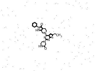 CCc1cc2c(N3CCc4c([nH]n(-c5ccccc5)c4=O)C3)nc(N3CCNC(=O)C3)nc2s1